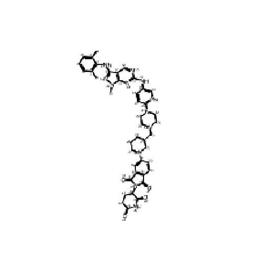 Cc1cccc(C)c1Nc1nn(C)c2nc(Nc3ccc(N4CCN(C[C@@H]5CCCN(c6ccc7c(c6)C(=O)N(C6CCC(=O)NC6=O)C7=O)C5)CC4)nc3)ncc12